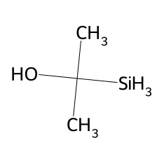 CC(C)(O)[SiH3]